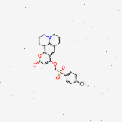 Cc1ccc(S(=O)(=O)COc2cc(=O)oc3c4c5c(cc23)CCCN5CCC4)cc1